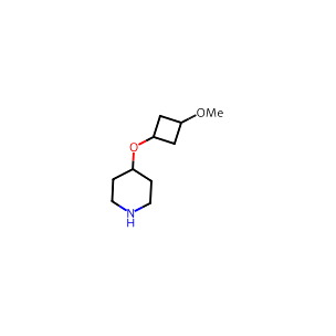 COC1CC(OC2CCNCC2)C1